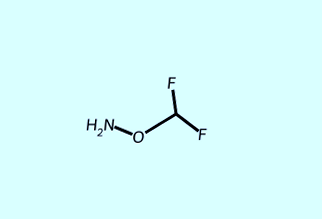 NOC(F)F